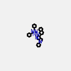 c1ccc(-c2nc(-c3ccccc3)nc(-n3c4ncc5c(ccn5-c5ccccc5)c4c4ccc5ccccc5c43)n2)cc1